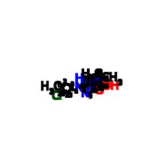 Cc1ccc(CNc2nccn3c(N(C(=O)O)C(C)C)nnc23)cc1Cl